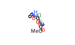 COC(=O)C1CCC(OC(F)(C(=O)Cc2cc(Cl)c(NC(=O)c3nccc4ccccc34)cc2F)N2CCCC2)CC1